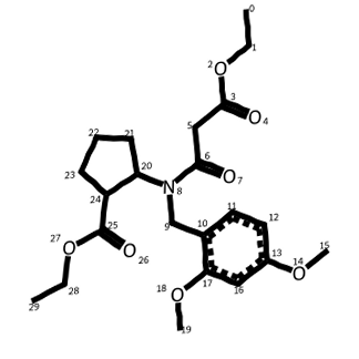 CCOC(=O)CC(=O)N(Cc1ccc(OC)cc1OC)C1CCCC1C(=O)OCC